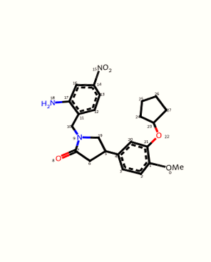 COc1ccc(C2CC(=O)N(Cc3ccc([N+](=O)[O-])cc3N)C2)cc1OC1CCCC1